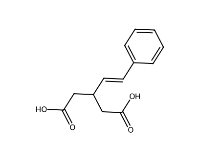 O=C(O)CC(/C=C/c1ccccc1)CC(=O)O